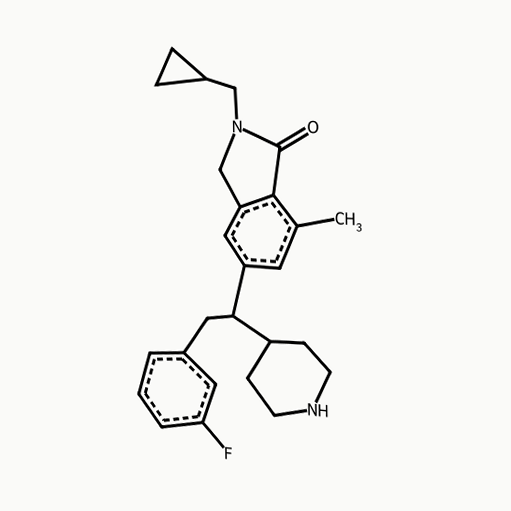 Cc1cc(C(Cc2cccc(F)c2)C2CCNCC2)cc2c1C(=O)N(CC1CC1)C2